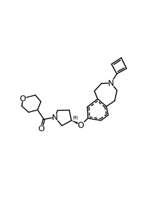 O=C(C1CCOCC1)N1CC[C@@H](Oc2ccc3c(c2)CCN(C2=CC=C2)CC3)C1